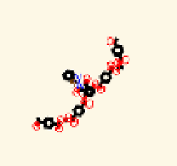 CC(=O)C1CCC(C(=O)OCOC(=O)C2CCC(C(=O)Oc3ccc(OC(=O)C4CCC(C(=O)OC(C)OC(=O)C5CCC(C(C)=O)CC5)CC4)c4c3C(=O)N(c3nc5ccccc5s3)C4=O)CC2)CC1